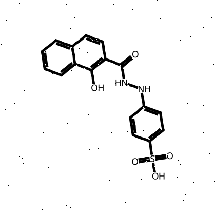 O=C(NNc1ccc(S(=O)(=O)O)cc1)c1ccc2ccccc2c1O